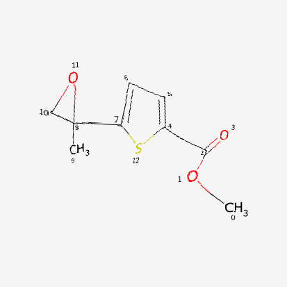 COC(=O)c1ccc(C2(C)CO2)s1